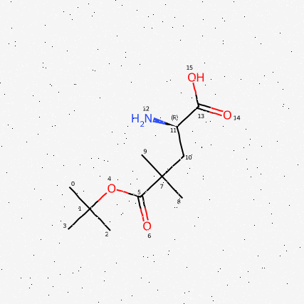 CC(C)(C)OC(=O)C(C)(C)C[C@@H](N)C(=O)O